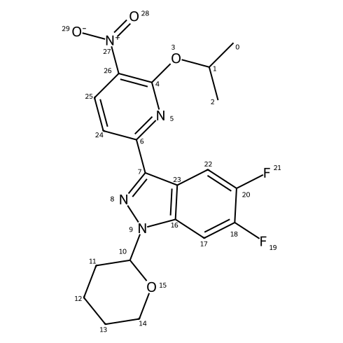 CC(C)Oc1nc(-c2nn(C3CCCCO3)c3cc(F)c(F)cc23)ccc1[N+](=O)[O-]